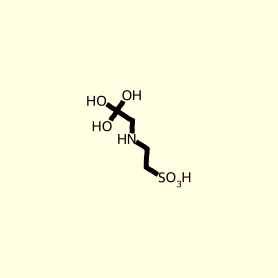 O=S(=O)(O)CCNCC(O)(O)O